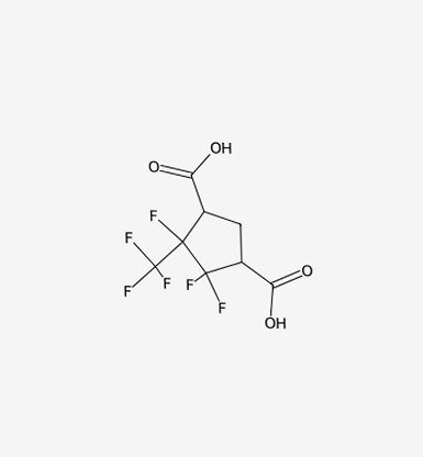 O=C(O)C1CC(C(=O)O)C(F)(C(F)(F)F)C1(F)F